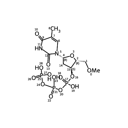 COC[C@H]1O[C@@H](n2cc(C)c(=O)[nH]c2=O)C[C@@H]1OP(=O)(O)OP(=O)(O)OP(=O)(O)O